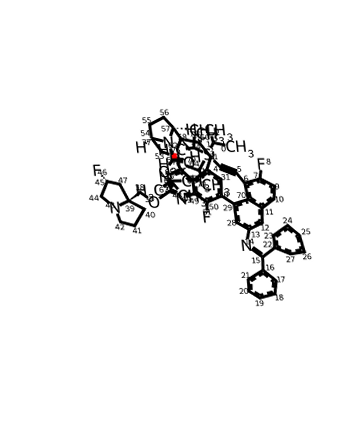 CC(C)[Si](C#Cc1c(F)ccc2cc(N=C(c3ccccc3)c3ccccc3)cc(-c3cc4c5c(nc(OC[C@@]67CCCN6C[C@H](F)C7)nc5c3F)N3C[C@H]5CC[C@@H]([C@@H]3[C@@H](C)C4)N5C(=O)OC(C)(C)C)c12)(C(C)C)C(C)C